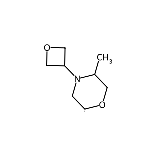 CC1CO[CH]CN1C1COC1